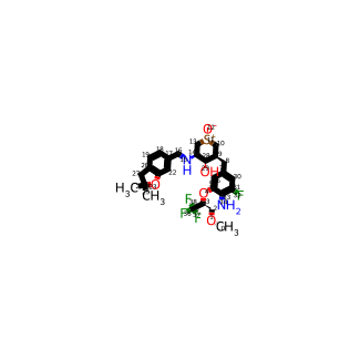 COC[C@@H](Oc1cc(C[C@@H]2C[S@@+]([O-])C[C@H](NCc3ccc4c(c3)OC(C)(C)C4)[C@H]2O)cc(F)c1N)C(F)(F)F